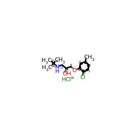 Cc1ccc(Cl)c(OC[C@@H](O)CNC(C)(C)C)c1.Cl